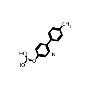 Cc1ccc(-c2ccc(OP(O)O)cc2)cc1.[Ni]